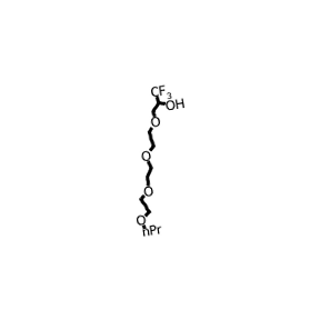 CCCOCCOCCOCCOCC(O)C(F)(F)F